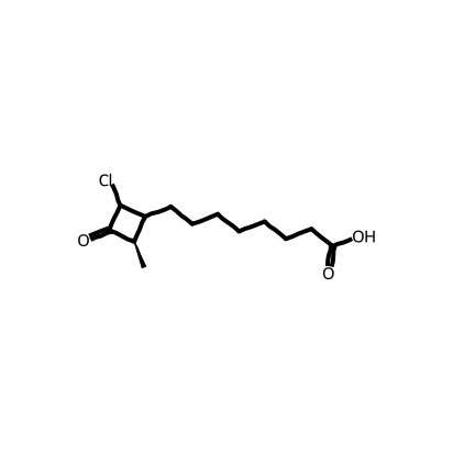 C[C@H]1C(=O)C(Cl)C1CCCCCCCC(=O)O